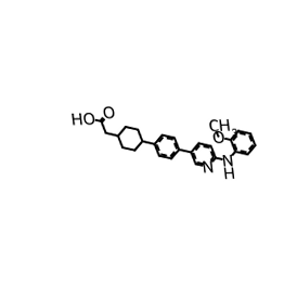 COc1ccccc1Nc1ccc(-c2ccc(C3CCC(CC(=O)O)CC3)cc2)cn1